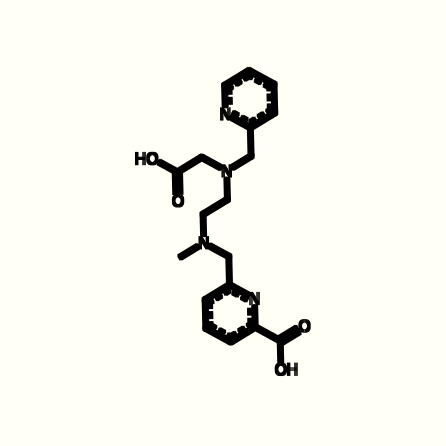 CN(CCN(CC(=O)O)Cc1ccccn1)Cc1cccc(C(=O)O)n1